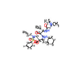 CCC(C)[C@H](NC(=O)CN(C)C)C(=O)N[C@@H](Cc1ccccc1)[C@H](O)CN(CCC(C)C)S(=O)(=O)c1ccccc1